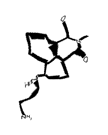 CN1C(=O)c2cccc3c(NCCN)ccc(c23)C1=O